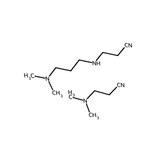 CN(C)CCC#N.CN(C)CCCNCCC#N